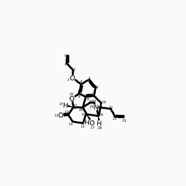 C=CCOc1ccc2c3c1O[C@H]1C(=O)CC[C@@]4(O)[C@@H](C2)N(CC=C)CCC314